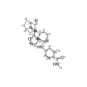 CNC(=O)c1ncc(Nc2nccc(N3CC4CC[C@@H](C3)N4Cc3ccno3)n2)cc1C